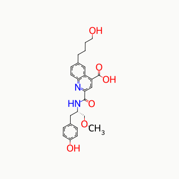 COC[C@H](Cc1ccc(O)cc1)NC(=O)c1cc(C(=O)O)c2cc(CCCCO)ccc2n1